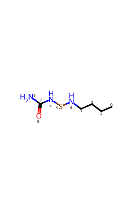 CCCCNSNC(N)=O